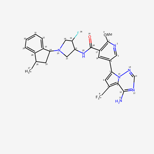 COc1ncc(-c2cc(C(F)(F)F)c3c(N)ncnn23)cc1C(=O)NC1CN(C2CC(C)c3ccccc32)CC1F